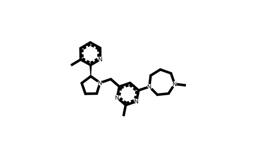 Cc1nc(CN2CCC[C@H]2c2ncccc2C)cc(N2CCCN(C)CC2)n1